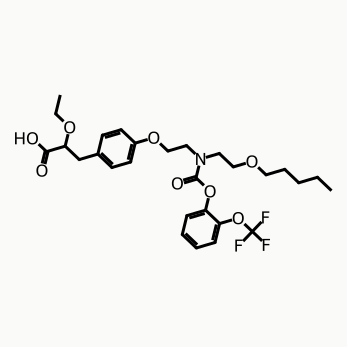 CCCCCOCCN(CCOc1ccc(CC(OCC)C(=O)O)cc1)C(=O)Oc1ccccc1OC(F)(F)F